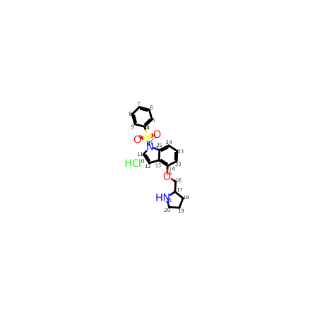 Cl.O=S(=O)(c1ccccc1)n1ccc2c(OCC3CCCN3)cccc21